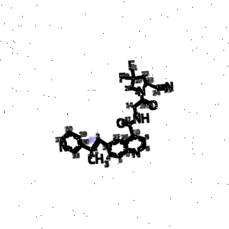 C/C(=C\c1ccc2nccc(C(=O)NCC(=O)N3CC(F)(F)C[C@H]3C#N)c2c1)c1cccnc1